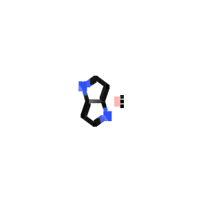 C1=NC2=CC=NC2=C1.[B]